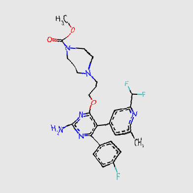 COC(=O)N1CCN(CCOc2nc(N)nc(-c3ccc(F)cc3)c2-c2cc(C)nc(C(F)F)c2)CC1